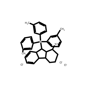 Cc1cccc([Si](c2cccc(C)c2)(c2cccc(C)c2)C2C3C=CC=CC3C3CCC[CH]([Ti+3])C32)c1.[Cl-].[Cl-].[Cl-]